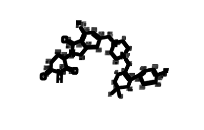 CC1(C)CCC(CN2CCN(Cc3cc(F)c4c(c3)CN(C3CCC(=O)NC3=O)C4=O)CC2)=C(c2ccc(F)cc2)C1